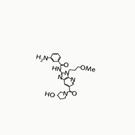 COCCCn1c(NC(=O)c2cccc(N)c2)nc2cc(C(=O)N3CC[C@H](O)C3)cnc21